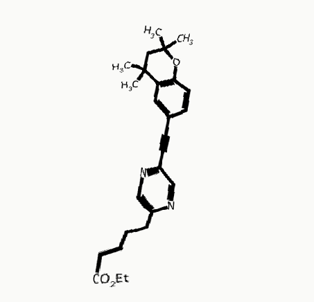 CCOC(=O)CCCCc1cnc(C#Cc2ccc3c(c2)C(C)(C)CC(C)(C)O3)cn1